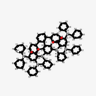 c1ccc(-c2cccc(-c3ccccc3)c2-c2c3c(cc4c2Sc2cc(N(c5ccccc5)c5ccccc5)cc5c2B4c2ccccc2N5c2ccccc2)B2c4ccccc4N(c4ccccc4)c4cc(N(c5ccccc5)c5ccccc5)cc(c42)S3)cc1